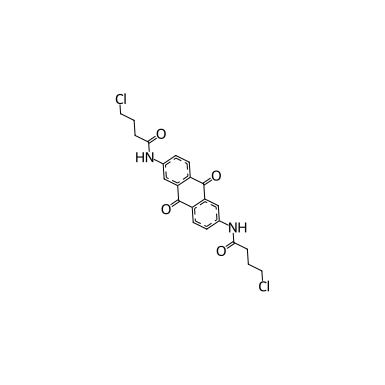 O=C(CCCCl)Nc1ccc2c(c1)C(=O)c1ccc(NC(=O)CCCCl)cc1C2=O